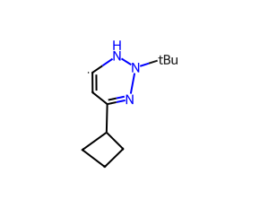 CC(C)(C)N1N=C(C2CCC2)C=[C]N1